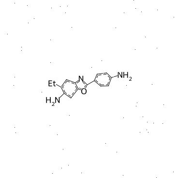 CCc1cc2nc(-c3ccc(N)cc3)oc2cc1N